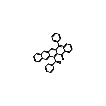 O=C(c1ccccc1)c1cc2cc3ccccc3cc2c(C(=O)c2ccccc2)c1C(=O)c1ccccc1